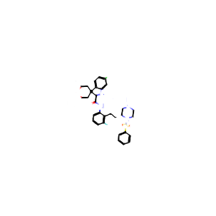 C[C@@H]1CC(c2ccc(Cl)cc2)(C(N)C(=O)Nc2cccc(F)c2CC[C@H]2CNC[C@H](C)N2S(=O)(=O)c2ccccc2)C[C@H](C)O1